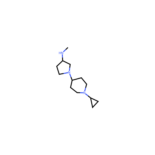 CNC1CCN(C2CCN(C3CC3)CC2)C1